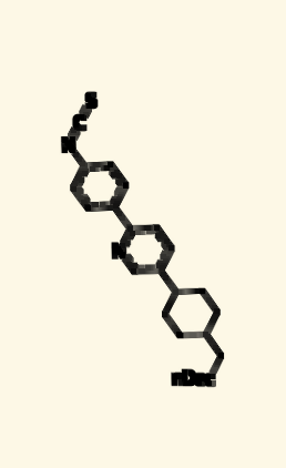 CCCCCCCCCCCC1CCC(c2ccc(-c3ccc(N=C=S)cc3)nc2)CC1